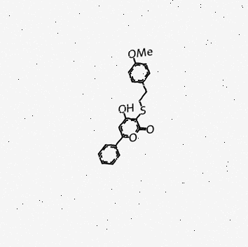 COc1ccc(CCSc2c(O)cc(-c3ccccc3)oc2=O)cc1